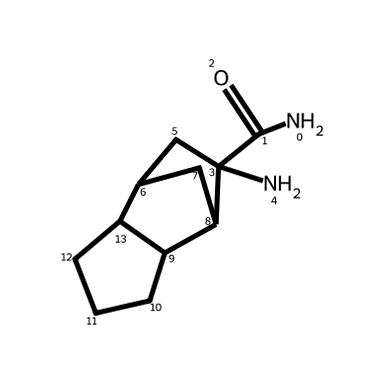 NC(=O)C1(N)CC2CC1C1CCCC21